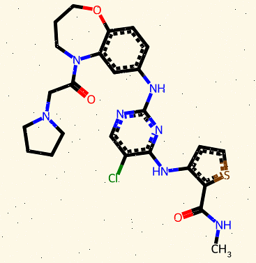 CNC(=O)c1sccc1Nc1nc(Nc2ccc3c(c2)N(C(=O)CN2CCCC2)CCCO3)ncc1Cl